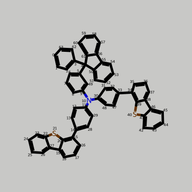 c1ccc(C2(c3cccc(N(c4ccc(-c5cccc6c5sc5ccccc56)cc4)c4ccc(-c5cccc6c5sc5ccccc56)cc4)c3)c3ccccc3-c3ccccc32)cc1